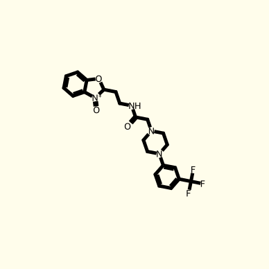 O=C(CN1CCN(c2cccc(C(F)(F)F)c2)CC1)NCCC1Oc2ccccc2[N+]1=O